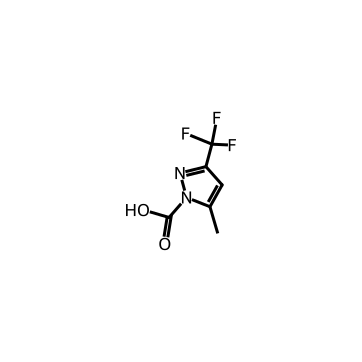 Cc1cc(C(F)(F)F)nn1C(=O)O